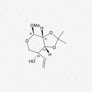 C=C[C@@]1(O)CO[C@@H](OC)[C@@H]2OC(C)(C)O[C@@H]21